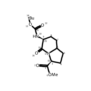 COC(=O)[C@@H]1CCC2CC[C@H](NC(=O)OC(C)(C)C)C(=O)N21